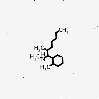 CCCCCC(C)C(NC)C1CCCCC1C